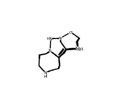 C1CN2NN3OCNC3=C2CN1